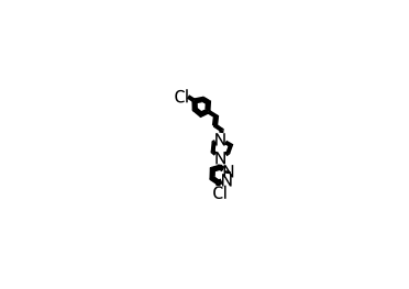 Clc1ccc(C=CCN2CCN(c3ccc(Cl)nn3)CC2)cc1